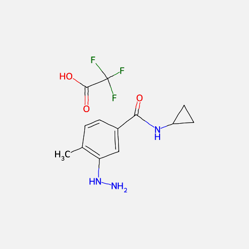 Cc1ccc(C(=O)NC2CC2)cc1NN.O=C(O)C(F)(F)F